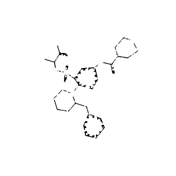 CC(C)C(NS(=O)(=O)c1cc(NC(=O)C2CCNCC2)ccc1N1CCCCC1Cc1ccccc1)C(N)=O